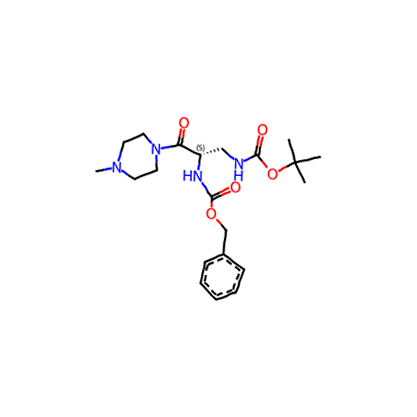 CN1CCN(C(=O)[C@H](CNC(=O)OC(C)(C)C)NC(=O)OCc2ccccc2)CC1